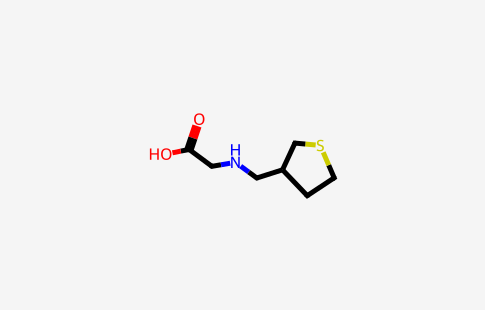 O=C(O)CNCC1CCSC1